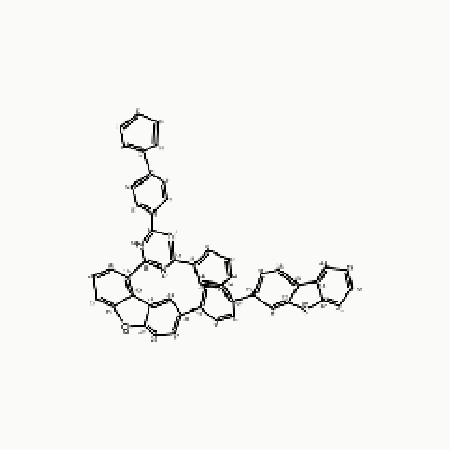 c1ccc(-c2ccc(-c3nc(-c4ccccc4)nc(-c4cccc5oc6ccc(-c7ccc(-c8ccc9c(c8)sc8ccccc89)cc7)cc6c45)n3)cc2)cc1